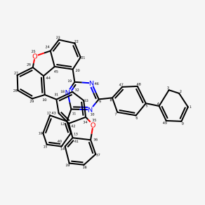 C1=CCCC(c2ccc(-c3nc(-c4ccccc4)nc(-c4cccc5oc6cccc(-c7ccc8oc9ccccc9c8c7)c6c45)n3)cc2)=C1